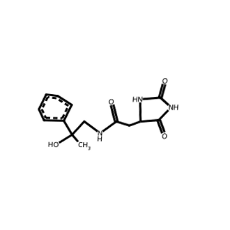 CC(O)(CNC(=O)CC1NC(=O)NC1=O)c1ccccc1